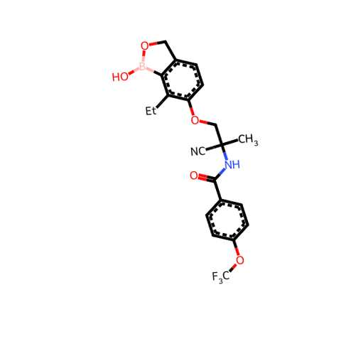 CCc1c(OCC(C)(C#N)NC(=O)c2ccc(OC(F)(F)F)cc2)ccc2c1B(O)OC2